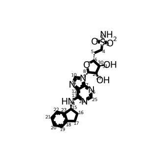 NS(=O)(=O)CC[C@H]1O[C@@H](n2cnc3c(N[C@H]4CCc5ccccc54)ncnc32)[C@H](O)[C@@H]1O